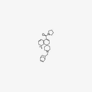 C[C@H]1CC=CC2=C1C1(CC=C2C(=O)N2CCCC2)CCN(CC2CC3C=CC2C3)CC1